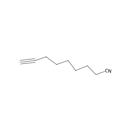 [C]#CCCCCCCC#N